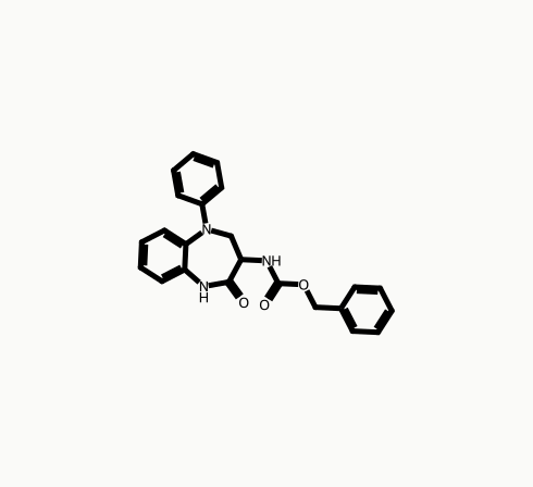 O=C(NC1CN(c2ccccc2)c2ccccc2NC1=O)OCc1ccccc1